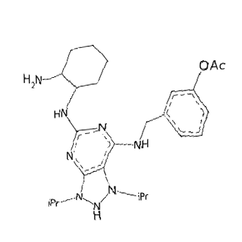 CC(=O)Oc1cccc(CNc2nc(NC3CCCCC3N)nc3c2N(C(C)C)NN3C(C)C)c1